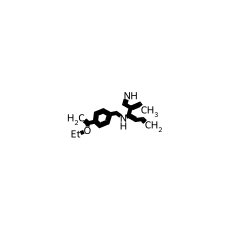 C=C/C=C(NCc1ccc(C(=C)OCC)cc1)\C(C=N)=C/C